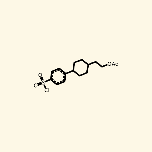 CC(=O)OCCC1CCC(c2ccc(S(=O)(=O)Cl)cc2)CC1